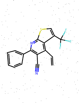 C=Cc1c(C#N)c(-c2ccccc2)nc2scc(C(F)(F)F)c12